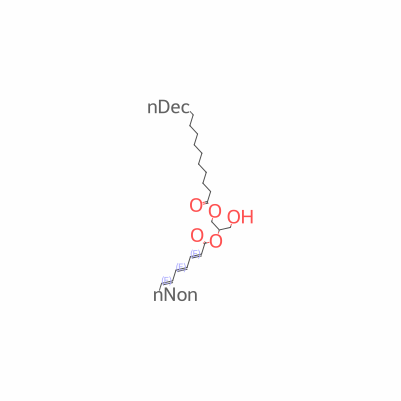 CCCCCCCCC/C=C/C=C/C=C/C(=O)OC(CO)COC(=O)CCCCCCCCCCCCCCCCCCC